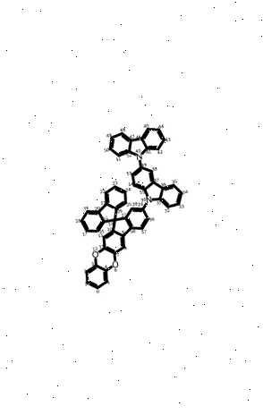 c1ccc2c(c1)Oc1cc3c(cc1O2)C1(c2ccccc2-c2ccccc21)c1cc(-n2c4ccccc4c4cc(-n5c6ccccc6c6ccccc65)ccc42)ccc1-3